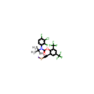 BC(B)(B)N(C(=O)Oc1c(C#CSI)cc(C(F)(F)F)cc1C(F)(F)F)c1ccc(F)c(Cl)c1F